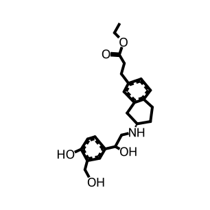 CCOC(=O)CCc1ccc2c(c1)C[C@@H](NCC(O)c1ccc(O)c(CO)c1)CC2